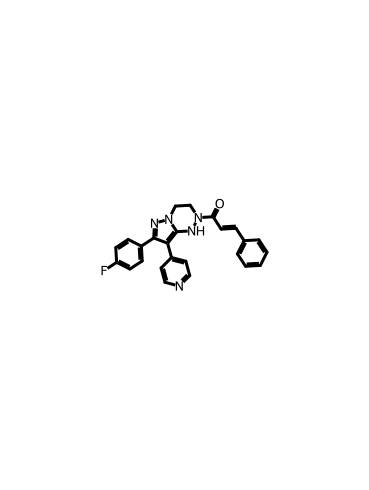 O=C(/C=C/c1ccccc1)N1CCn2nc(-c3ccc(F)cc3)c(-c3ccncc3)c2N1